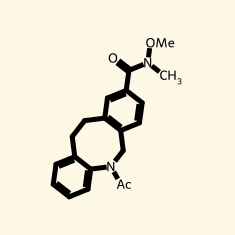 CON(C)C(=O)c1ccc2c(c1)CCc1ccccc1N(C(C)=O)C2